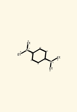 CCN(CC)C1CCC(N(CC)CC)CC1